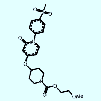 COCCOC(=O)N1CCC(Oc2ccn(-c3ccc(S(C)(=O)=O)cc3)c(=O)c2)CC1